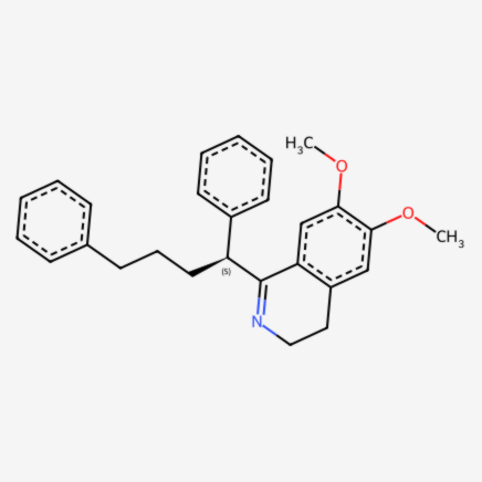 COc1cc2c(cc1OC)C([C@@H](CCCc1ccccc1)c1ccccc1)=NCC2